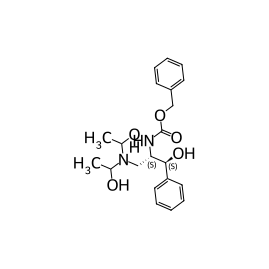 CC(O)N(C[C@H](NC(=O)OCc1ccccc1)[C@@H](O)c1ccccc1)C(C)O